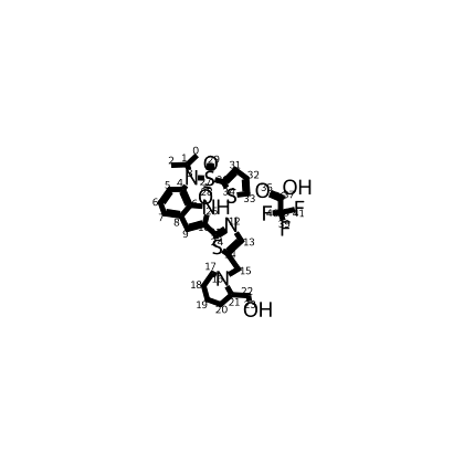 CC(C)N(c1cccc2cc(-c3ncc(CN4CCCCC4CO)s3)[nH]c12)S(=O)(=O)c1cccs1.O=C(O)C(F)(F)F